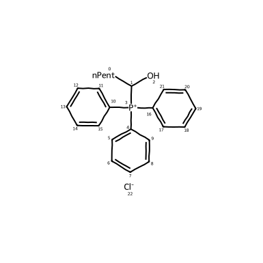 CCCCCC(O)[P+](c1ccccc1)(c1ccccc1)c1ccccc1.[Cl-]